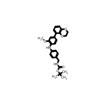 COc1cc(-c2cccc3c2OCCO3)ccc1Nc1ccc(CNC(=O)OC(C)(C)C)cc1